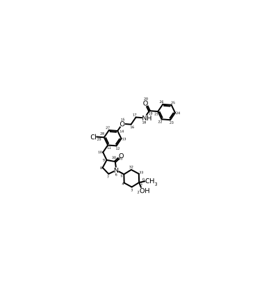 CC1(O)CCC(N2CCC(Cc3ccc(OCCNC(=O)c4ccccc4)cc3Cl)C2=O)CC1